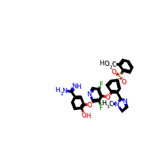 CN1CC=NC1c1cc(S(=O)(=O)c2ccccc2C(=O)O)ccc1Oc1c(F)cnc(Oc2cc(C(=N)N)ccc2O)c1F